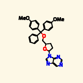 COc1ccc(C(OCC2CCC(n3cnc4cncnc43)O2)(c2ccccc2)c2ccc(OC)cc2)cc1